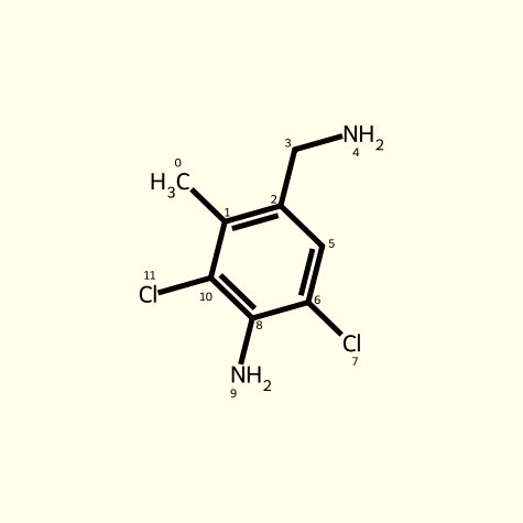 Cc1c(CN)cc(Cl)c(N)c1Cl